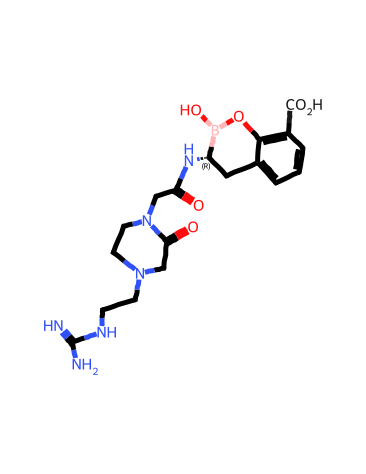 N=C(N)NCCN1CCN(CC(=O)N[C@H]2Cc3cccc(C(=O)O)c3OB2O)C(=O)C1